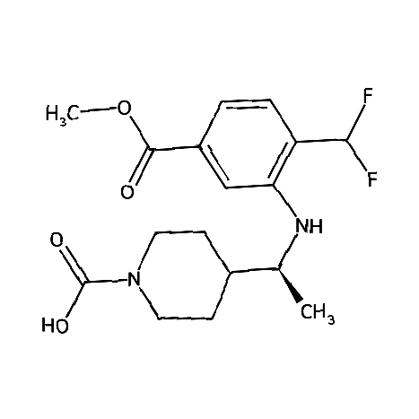 COC(=O)c1ccc(C(F)F)c(N[C@@H](C)C2CCN(C(=O)O)CC2)c1